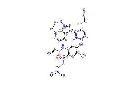 C=CC(=O)Nc1cc(Nc2ncc(CCC#N)c(-c3cn4c5c(cccc35)CCC4)n2)c(C)cc1N(C)CCN(C)C